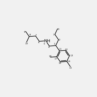 CCCC(CNCCC(C)C)c1ccc(C)cc1C